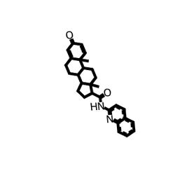 CC12C=CC(=O)C=C1CCC1C2CCC2(C)C(C(=O)Nc3ccc4ccccc4n3)CCC12